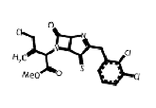 C=C(CCl)C(C(=O)OC)N1C(=O)C2N=C(Cc3cccc(Cl)c3Cl)C(=S)C21